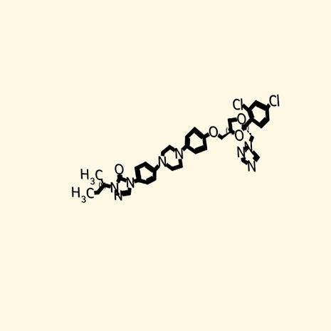 CC[C@H](C)n1ncn(-c2ccc(N3CCN(c4ccc(OC[C@H]5CO[C@@](Cn6cncn6)(c6ccc(Cl)cc6Cl)O5)cc4)CC3)cc2)c1=O